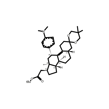 CN(C)c1ccc([C@H]2C[C@]3(C)[C@H](CC(=O)OC(C)(C)C)CC[C@H]3[C@@H]3CC[C@H]4CC5(CCC4=C32)OCC(C)(C)CO5)cc1